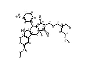 CCOc1ccc2[nH]c3c(c2c1)CC1(C)C(=O)N(CCCN(CC)CCOC)C(=O)N1C3c1cccc(O)c1